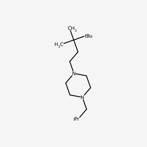 CC(C)CN1CCN(CCC(C)(C)C(C)(C)C)CC1